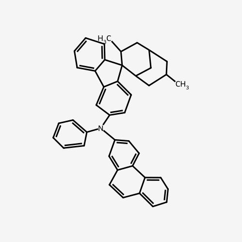 CC1CC2CC(C)C3(c4ccccc4-c4cc(N(c5ccccc5)c5ccc6c(ccc7ccccc76)c5)ccc43)C(C1)C2